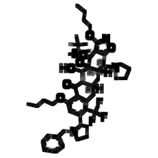 CCCCOc1cc(C2CCCN2Cc2ccccc2)c(C(F)(F)F)c2c1C(=O)C1=C(O)[C@]3(O[Si](C)(C)C(C)(C)C)C(=O)c4c(OCCCC)noc4[C@@H](N4CCCC4)[C@@H]3C[C@@H]1C2